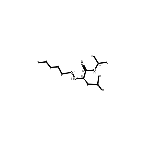 CCCCCSN[C@H](CC(C)C)C(=O)OC(C)C